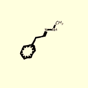 CNN=CCc1ccccc1